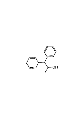 CC(O)C(c1ccccc1)C1C=CCC=C1